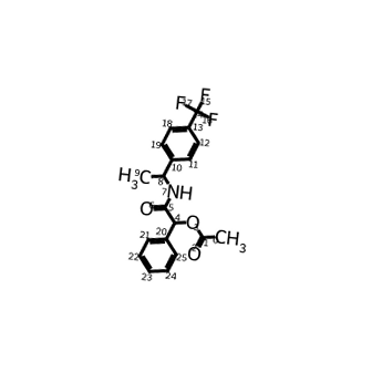 CC(=O)OC(C(=O)NC(C)c1ccc(C(F)(F)F)cc1)c1ccccc1